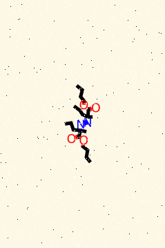 CCCCOC(=O)C(C)(CCC)N=NC(C)(CCC)C(=O)OCCCC